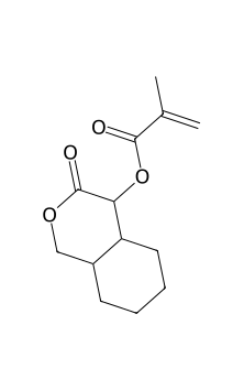 C=C(C)C(=O)OC1C(=O)OCC2CCCCC21